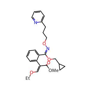 CCO/C=C(/C(=O)OC)c1ccccc1/C(=N\OCCCc1ccccn1)OCC1CC1